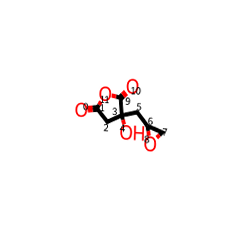 O=C1CC(O)(CC2CO2)C(=O)O1